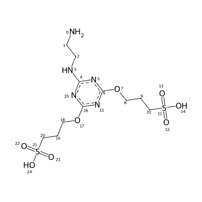 NCCNc1nc(OCCCS(=O)(=O)O)nc(OCCCS(=O)(=O)O)n1